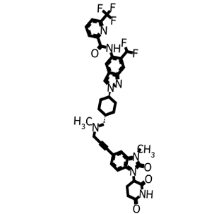 CN(CC#Cc1ccc2c(c1)n(C)c(=O)n2C1CCC(=O)NC1=O)C[C@H]1CC[C@H](n2cc3cc(NC(=O)c4cccc(C(F)(F)F)n4)c(C(F)F)cc3n2)CC1